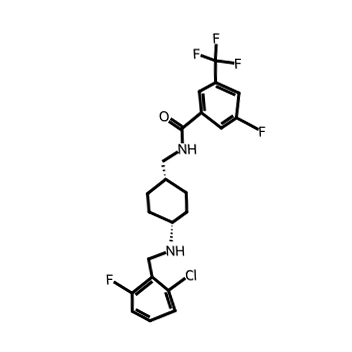 O=C(NC[C@H]1CC[C@@H](NCc2c(F)cccc2Cl)CC1)c1cc(F)cc(C(F)(F)F)c1